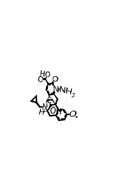 COc1ccc2c(c1)[C@]13CCN(CC4CC4)[C@H](C2)[C@]1(O)Cc1cc(C(=O)O)c(=O)n(N)c1C3